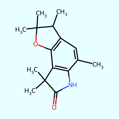 Cc1cc2c(c3c1NC(=O)C3(C)C)OC(C)(C)C2C